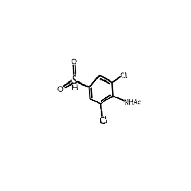 CC(=O)Nc1c(Cl)cc([SH](=O)=O)cc1Cl